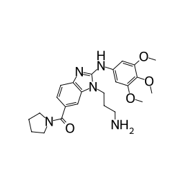 COc1cc(Nc2nc3ccc(C(=O)N4CCCC4)cc3n2CCCN)cc(OC)c1OC